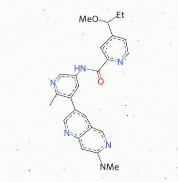 CCC(OC)c1ccnc(C(=O)Nc2cnc(C)c(-c3cnc4cc(NC)ncc4c3)c2)c1